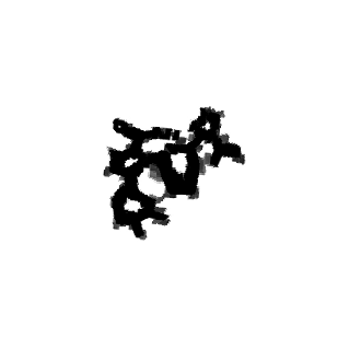 Cc1ccc(-c2ccc(C(N)=O)n2-c2cccc(-c3nncn3C(C)C)n2)cc1C